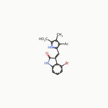 CC(=O)c1c(C=C2C(=O)Nc3cccc(Br)c32)[nH]c(C(=O)O)c1C